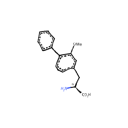 COc1cc(C[C@H](N)C(=O)O)ccc1-c1ccccc1